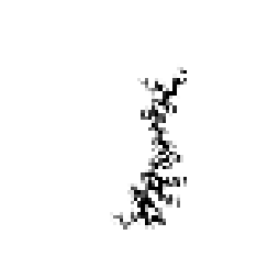 CSCC[C@H](N)C(=O)OS(=O)(=O)CCCCS(=O)(=O)OC[C@H]1O[C@@H](n2cnc3c(N)ncnc32)[C@H](O)[C@@H]1O